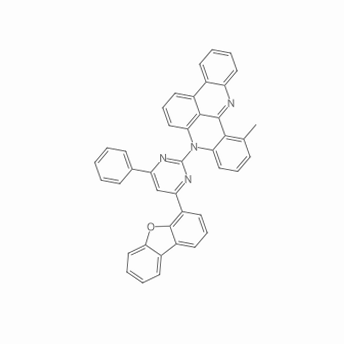 Cc1cccc2c1-c1nc3ccccc3c3cccc(c13)N2c1nc(-c2ccccc2)cc(-c2cccc3c2oc2ccccc23)n1